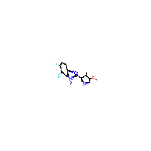 COc1cncc(-c2nc3ccc(F)c(F)c3n2C)c1C